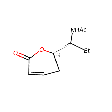 CCC(NC(C)=O)[C@@H]1CC=CC(=O)O1